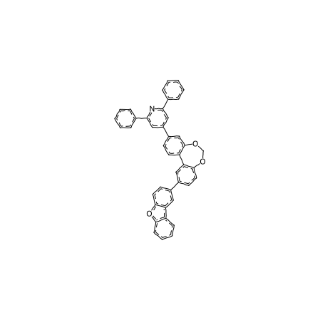 c1ccc(-c2cc(-c3ccc4c(c3)OCOc3ccc(-c5ccc6oc7ccccc7c6c5)cc3-4)cc(-c3ccccc3)n2)cc1